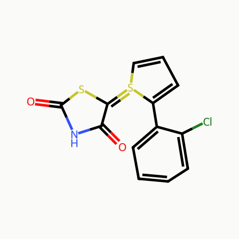 O=C1NC(=O)C(=S2C=CC=C2c2ccccc2Cl)S1